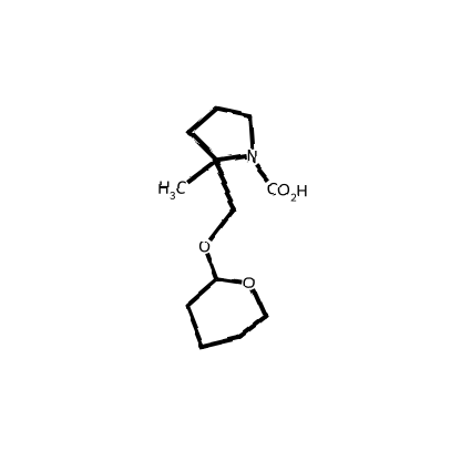 CC1(COC2CCCCO2)CCCN1C(=O)O